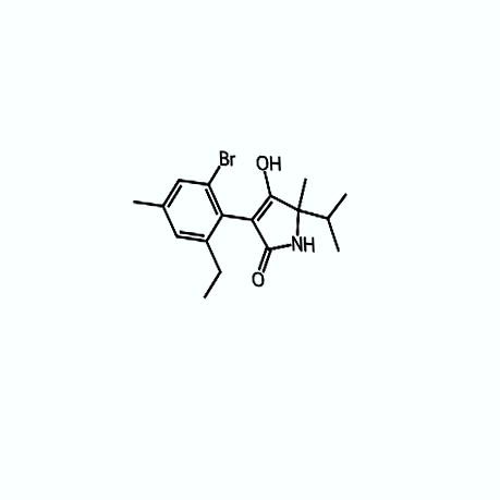 CCc1cc(C)cc(Br)c1C1=C(O)C(C)(C(C)C)NC1=O